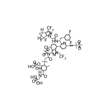 Cc1cc(C(=O)NCP(=O)(O)O)cc(OP(=O)(O)O)c1C(C)(C)CC(=O)N(c1nn(CC(F)(F)F)c2c(-c3ccc(C#CC(C)(C)S(C)(=O)=O)nc3[C@H](Cc3cc(F)cc(F)c3)NC(=O)Cn3nc(C(F)(F)F)c4c3C(F)(F)[C@@H]3C[C@H]43)ccc(Cl)c12)S(C)(=O)=O